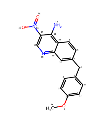 COc1ccc(Cc2ccc3c(N)c([N+](=O)[O-])cnc3c2)cc1